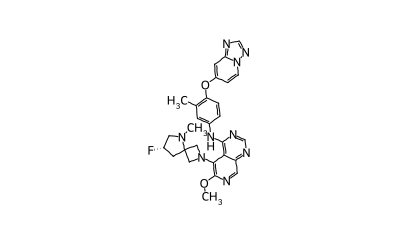 COc1ncc2ncnc(Nc3ccc(Oc4ccn5ncnc5c4)c(C)c3)c2c1N1CC2(C[C@H](F)CN2C)C1